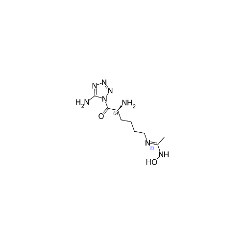 C/C(=N\CCCC[C@H](N)C(=O)n1nnnc1N)NO